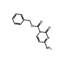 Nc1ccn(C(=O)OCc2ccccc2)c(=O)n1